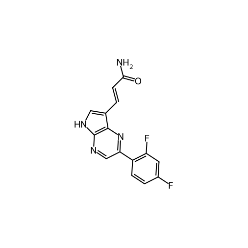 NC(=O)C=Cc1c[nH]c2ncc(-c3ccc(F)cc3F)nc12